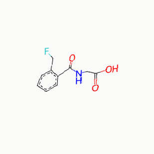 O=C(O)CNC(=O)c1ccccc1CF